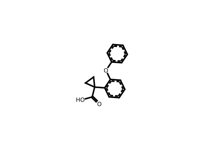 O=C(O)C1(c2ccccc2Oc2ccccc2)CC1